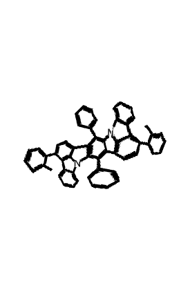 Cc1ccccc1-c1ccc2c3c(-c4ccccc4)c4c(c(-c5ccccc5)c3n3c5ccccc5c1c23)c1ccc(-c2ccccc2C)c2c3ccccc3n4c12